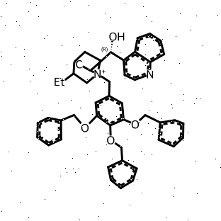 CCC1C[N+]2(Cc3cc(OCc4ccccc4)c(OCc4ccccc4)c(OCc4ccccc4)c3)CCC1CC2[C@H](O)c1ccnc2ccccc12